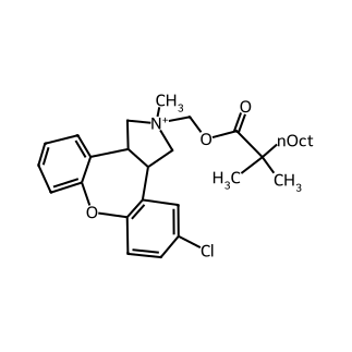 CCCCCCCCC(C)(C)C(=O)OC[N+]1(C)CC2c3ccccc3Oc3ccc(Cl)cc3C2C1